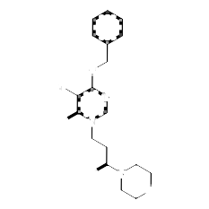 O=C(CCn1cnc(OCc2ccccc2)c(Br)c1=O)N1CCOCC1